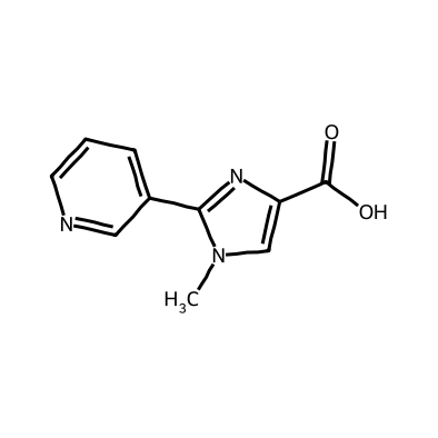 Cn1cc(C(=O)O)nc1-c1cccnc1